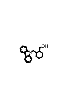 OCC1CCCCC1Cn1c2ccccc2c2ccccc21